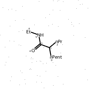 CCCCCC(CCC)C(=O)NCC